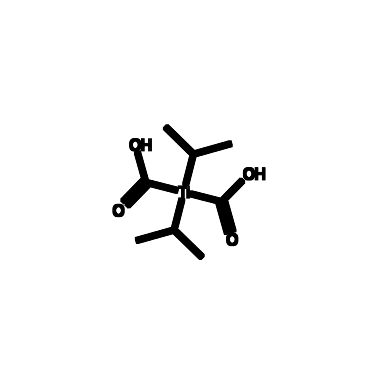 C[CH](C)[Ti]([C](=O)O)([C](=O)O)[CH](C)C